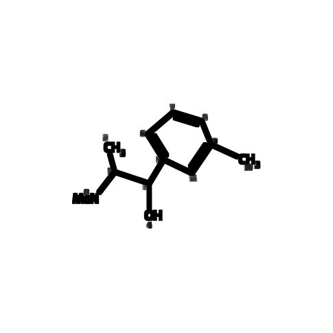 CNC(C)C(O)c1cccc(C)c1